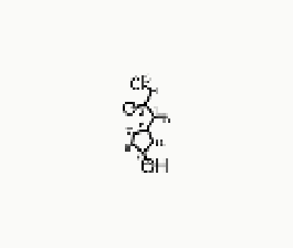 CC(C(=O)CCl)C1CCC(O)C1